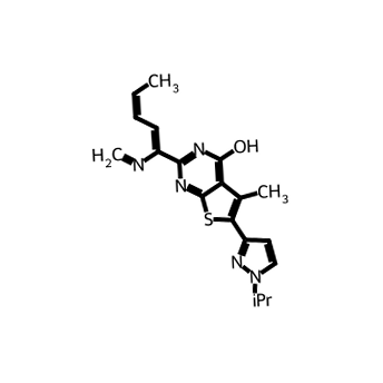 C=N/C(=C\C=C/C)c1nc(O)c2c(C)c(-c3ccn(C(C)C)n3)sc2n1